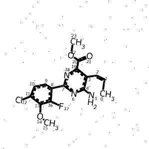 C/C=C\c1c(N)nc(-c2ccc(Cl)c(OC)c2F)nc1C(=O)OC